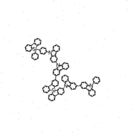 c1ccc(-n2c3ccccc3c3cc(-c4ccc5c(c4)c4ccccc4n5-c4ccc5c(c4)[Si]4(c6ccccc6-c6cc(-c7ccc8c(c7)c7ccccc7n8-c7ccc8c(c7)c7ccccc7n8-c7ccc([Si]8(c9ccccc9)c9ccccc9-c9ccccc98)cc7)ccc64)c4ccccc4-5)ccc32)cc1